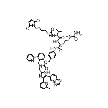 Cc1cccc(-c2nc(CN(Cc3ccccc3-c3ccccn3)C(=O)OCc3ccc(NC(=O)[C@H](CCCNC(N)=O)NC(=O)C(NC(=O)CCCCCN4C(=O)C=CC4=O)C(C)C)cc3)[nH]c2-c2ccc3ncnn3c2)n1